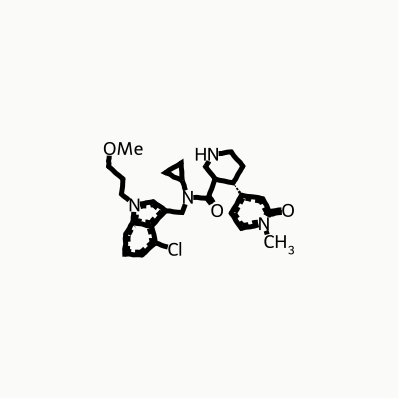 COCCCn1cc(CN(C(=O)C2CNCC[C@@H]2c2ccn(C)c(=O)c2)C2CC2)c2c(Cl)cccc21